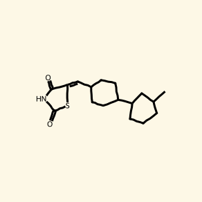 CC1CCCC(C2CCC(/C=C3\SC(=O)NC3=O)CC2)C1